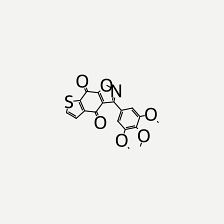 COc1cc(-c2noc3c2C(=O)c2ccsc2C3=O)cc(OC)c1OC